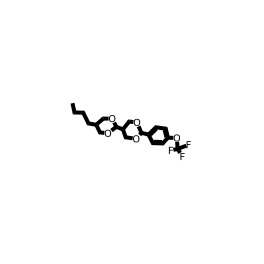 CCCCC1COC(C2COC(c3ccc(OC(F)(F)F)cc3)OC2)OC1